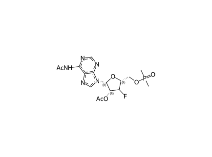 CC(=O)Nc1ncnc2c1ncn2[C@@H]1O[C@H](COP(C)(C)=O)C(F)[C@@H]1OC(C)=O